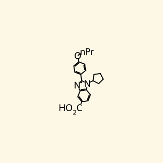 CCCOc1ccc(-c2nc3cc(C(=O)O)ccc3n2C2CCCC2)cc1